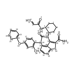 C=CC(=O)N[C@H]1CCCC[C@H]1N1C(=O)N(c2cnc(Oc3cccnn3)cc2C)c2ccnc3sc(C(N)=O)c1c23